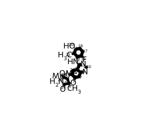 COCCC(C)(Oc1cc2ncnc(Nc3c(F)ccc(O)c3C)c2cc1OC)C(N)=O